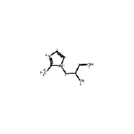 CC(C)C(CO)Cn1ccnc1C(F)(F)F